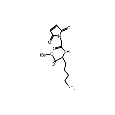 CC(C)(C)OC(=O)C(CCCCN)NC(=O)CN1C(=O)C=CC1=O